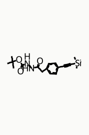 CC(C)(C)OC(=O)NNC(=O)Cc1ccc(C#C[Si](C)(C)C)cc1